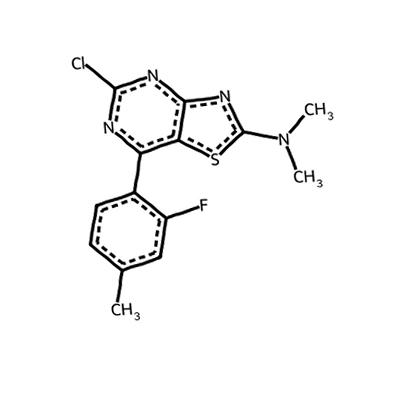 Cc1ccc(-c2nc(Cl)nc3nc(N(C)C)sc23)c(F)c1